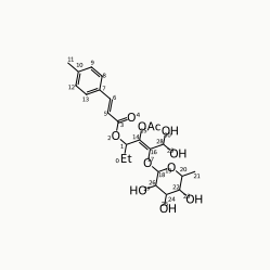 CCC(OC(=O)/C=C/c1ccc(C)cc1)/C(OC(C)=O)=C(\OC1OC(C)C(O)C(O)C1O)C(O)O